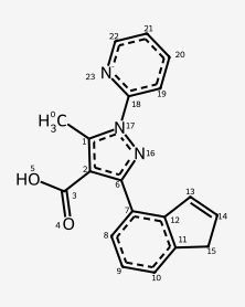 Cc1c(C(=O)O)c(-c2cccc3c2C=CC3)nn1-c1ccccn1